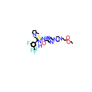 CCOC(=O)CCN1CCN(c2cnc(C(=O)NC3NC(c4cc(F)cc(C(F)(F)F)c4)=C(CN4CCCC4C)S3)cn2)CC1